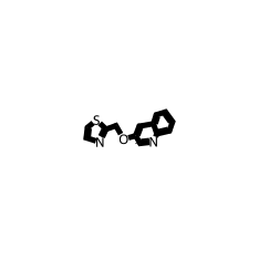 [c]1nc2ccccc2cc1OCc1nccs1